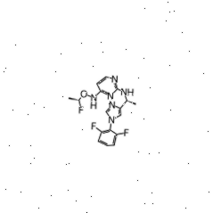 C[C@H](F)ONc1ccnc(N[C@@H](C)c2cn(-c3c(F)cccc3F)cn2)n1